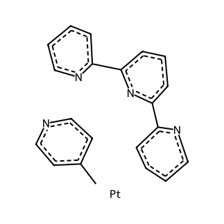 Cc1ccncc1.[Pt].c1ccc(-c2cccc(-c3ccccn3)n2)nc1